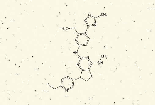 CNc1nc(Nc2ccc(-n3cnc(C)n3)c(OC)c2)nc2c1CCC2c1ccc(CF)nc1